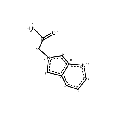 NC(=O)Cn1cc2cccnc2c1